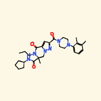 CCCN1C(=O)c2cc(C(=O)N3CCN(c4cccc(C)c4C)CC3)nn2CC1(C)C(=O)NC1CCCC1